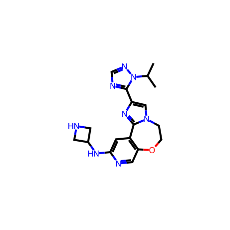 CC(C)n1ncnc1-c1cn2c(n1)-c1cc(NC3CNC3)ncc1OCC2